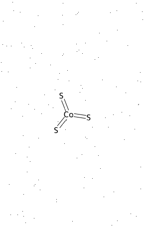 [S]=[Co](=[S])=[S]